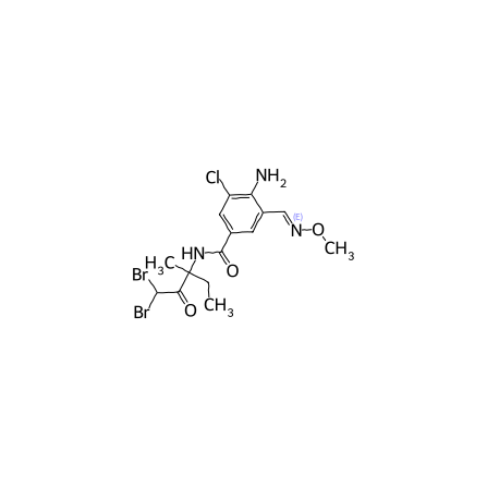 CCC(C)(NC(=O)c1cc(Cl)c(N)c(/C=N/OC)c1)C(=O)C(Br)Br